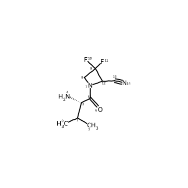 CC(C)[C@H](N)C(=O)N1CC(F)(F)C1C#N